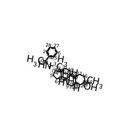 C[C@H](NC[C@H]1CC[C@H]2[C@@H]3CC[C@@H]4C[C@](C)(O)CC[C@@H]4[C@H]3CC[C@]12C)c1ccccc1